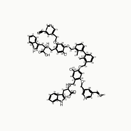 C/N=C/c1cncc(COc2cc(OCc3cccc(-c4cccc(COc5cc(OCc6cncc(C#N)c6)c(CNC(Cc6c[nH]c7ccccc67)C(=O)O)cc5Cl)c4C)c3C)c(Cl)cc2CNC(Cc2c[nH]c3ccccc23)C(=O)O)c1